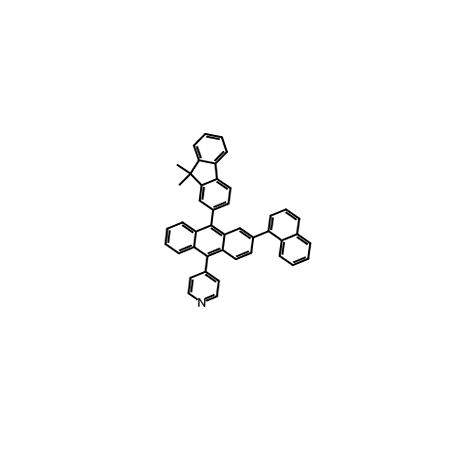 CC1(C)c2ccccc2-c2ccc(-c3c4ccccc4c(-c4ccncc4)c4ccc(-c5cccc6ccccc56)cc34)cc21